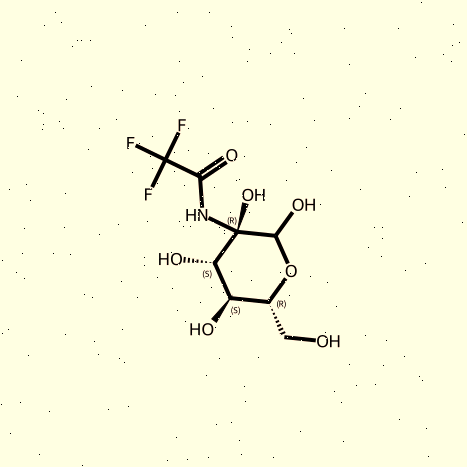 O=C(N[C@]1(O)C(O)O[C@H](CO)[C@@H](O)[C@@H]1O)C(F)(F)F